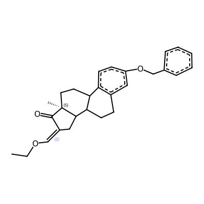 CCO/C=C1/CC2C3CCc4cc(OCc5ccccc5)ccc4C3CC[C@]2(C)C1=O